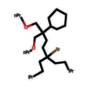 CCCOCC(CCC(Br)(CCC(C)C)CCC(C)C)(COCCC)C1CCCCC1